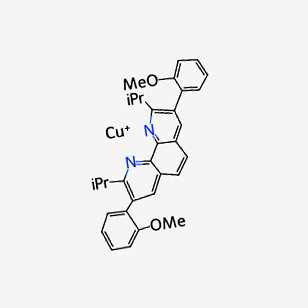 COc1ccccc1-c1cc2ccc3cc(-c4ccccc4OC)c(C(C)C)nc3c2nc1C(C)C.[Cu+]